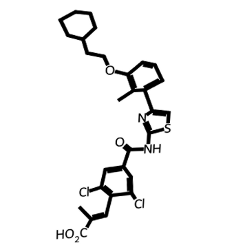 CC(=Cc1c(Cl)cc(C(=O)Nc2nc(-c3cccc(OCCC4CCCCC4)c3C)cs2)cc1Cl)C(=O)O